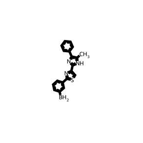 Bc1cccc(-c2nc(-c3nc(-c4ccccc4)c(C)[nH]3)cs2)c1